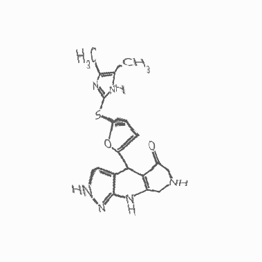 Cc1nc(Sc2ccc(C3C4=C(CNCC4=O)Nc4n[nH]cc43)o2)[nH]c1C